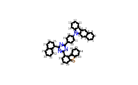 c1ccc2cc3c(cc2c1)c1ccccc1n3-c1ccc(-c2nc(-c3cccc4ccccc34)nc(-c3cccc4sc5ccccc5c34)n2)cc1